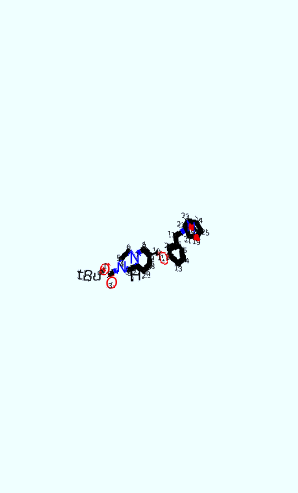 CC(C)(C)OC(=O)N1CCN2C[C@@H](COc3cccc(CN4CC5CCC(CC5)C4)c3)CC[C@H]2C1